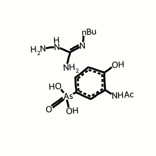 CC(=O)Nc1cc([As](=O)(O)O)ccc1O.CCCCN=C(N)NN